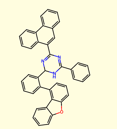 c1ccc(C2=NC(c3cc4ccccc4c4ccccc34)=NC(c3ccccc3-c3cccc4oc5ccccc5c34)N2)cc1